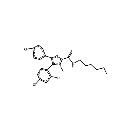 CCCCCCNC(=O)c1nc(-c2ccc(Cl)cc2)c(-c2ccc(Cl)cc2Cl)n1C